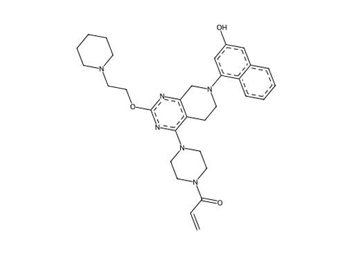 C=CC(=O)N1CCN(c2nc(OCCN3CCCCC3)nc3c2CCN(c2cc(O)cc4ccccc24)C3)CC1